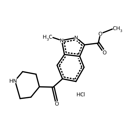 COC(=O)c1nn(C)c2cc(C(=O)C3CCNCC3)ccc12.Cl